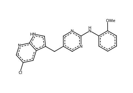 COc1ccccc1Nc1ncc(Cc2c[nH]c3ncc(Cl)cc23)cn1